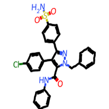 NS(=O)(=O)c1ccc(-c2nn(Cc3ccccc3)c(C(=O)Nc3ccccc3)c2-c2ccc(Cl)cc2)cc1